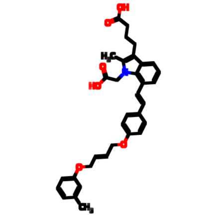 Cc1cccc(OCC=CCOc2ccc(C=Cc3cccc4c(CCCC(=O)O)c(C)n(CC(=O)O)c34)cc2)c1